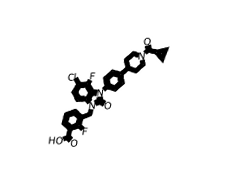 O=C(O)c1cccc(Cn2c(=O)n(-c3ccc(C4CCN(C(=O)C5CC5)CC4)cc3)c3c(F)c(Cl)ccc32)c1F